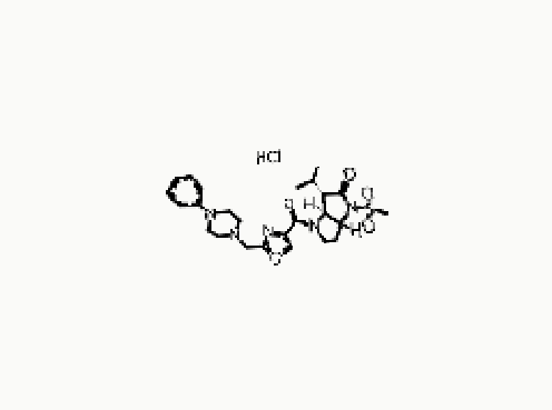 CC(C)[C@@H]1C(=O)N(S(C)(=O)=O)[C@@H]2CCN(C(=O)c3coc(CN4CCN(c5ccccc5)CC4)n3)[C@H]21.Cl